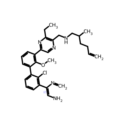 C=CCCC(C)CNCc1ncc(-c2cccc(-c3cccc(/C(=C/N)N=C)c3Cl)c2OC)nc1CC